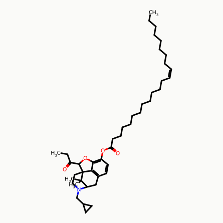 CCCCCCCC/C=C\CCCCCCCCCCCC(=O)Oc1ccc2c3c1OC(C(=O)CC)C31CCN(CC3CC3)C(C2)C1(C)C